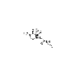 CCCNC(=O)CN[PH](=O)[C@@]1(N)CCCN(N)C1=O